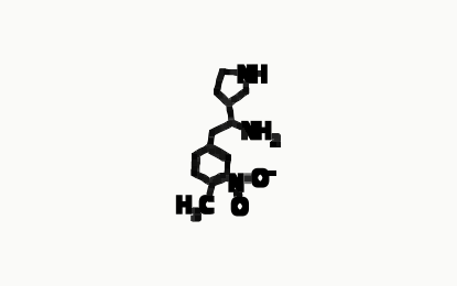 Cc1ccc(CC(N)C2CCNC2)cc1[N+](=O)[O-]